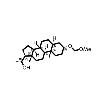 COCO[C@@H]1CC[C@@]2(C)[C@@H](CC[C@@H]3[C@@H]2CC[C@]2(C)[C@@H]([C@@H](C)O)CC[C@@H]32)C1